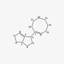 [C]1=C(/C2CCC3CCC=C32)CCCCCC/1